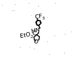 CCOC(=O)C1(CNCc2ccc(C(F)(F)F)cc2)CCOCC1